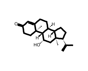 C=C(C)[C@H]1CC[C@H]2[C@@H]3CCC4=CC(=O)CC[C@]4(C)[C@H]3[C@@H](O)C[C@]12C